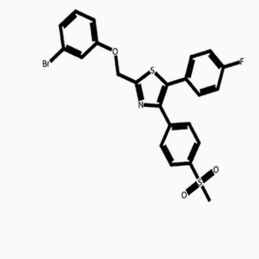 CS(=O)(=O)c1ccc(-c2nc(COc3cccc(Br)c3)sc2-c2ccc(F)cc2)cc1